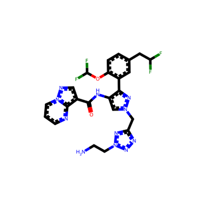 NCCn1nnc(Cn2cc(NC(=O)c3cnn4cccnc34)c(-c3cc(CC(F)F)ccc3OC(F)F)n2)n1